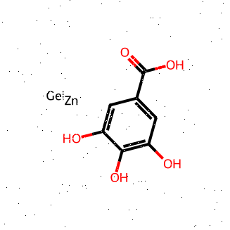 O=C(O)c1cc(O)c(O)c(O)c1.[Ge].[Zn]